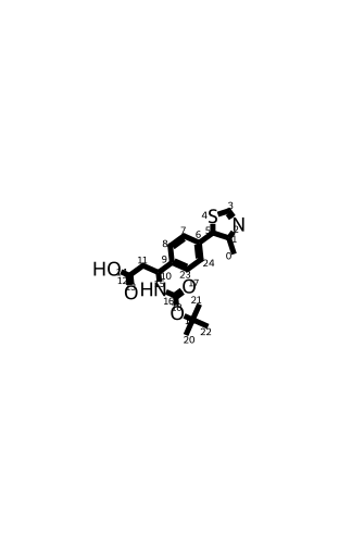 CC1N=CSC1c1ccc(C(CC(=O)O)NC(=O)OC(C)(C)C)cc1